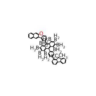 Bc1c(B)c(B)c2c(-c3ccc4oc5cc6ccccc6cc5c4c3)c3c(B)c(B)c(B)c(B)c3c(-c3ccc(-c4cccc5c4C(C)(C)c4ccccc4-5)cc3)c2c1B